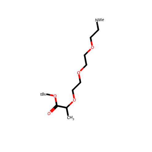 CNCCOCCOCCOC(C)C(=O)OC(C)(C)C